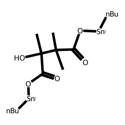 CCC[CH2][Sn][O]C(=O)C(C)(C)C(C)(O)C(=O)[O][Sn][CH2]CCC